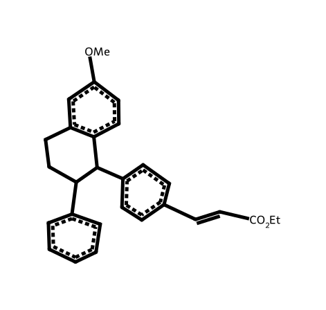 CCOC(=O)/C=C/c1ccc(C2c3ccc(OC)cc3CCC2c2ccccc2)cc1